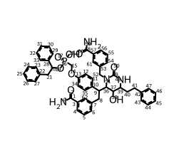 NC(=O)c1cccc(CC(c2ccc(OCP(=O)(O)OC(Cc3ccccc3)c3ccccc3)cc2)C2C(O)C(CCc3ccccc3)NC(=O)N2Cc2cccc(C(N)=O)c2)c1